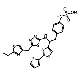 CCc1nc(Cc2nnc(NC(Cc3ccc(NS(=O)(=O)O)cc3)c3csc(-c4cccs4)n3)s2)cs1